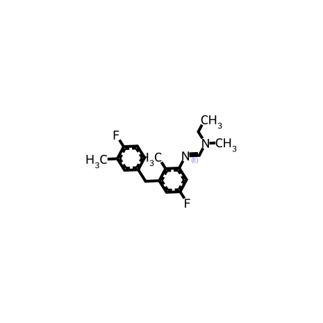 CCN(C)/C=N/c1cc(F)cc(Cc2ccc(F)c(C)c2)c1C